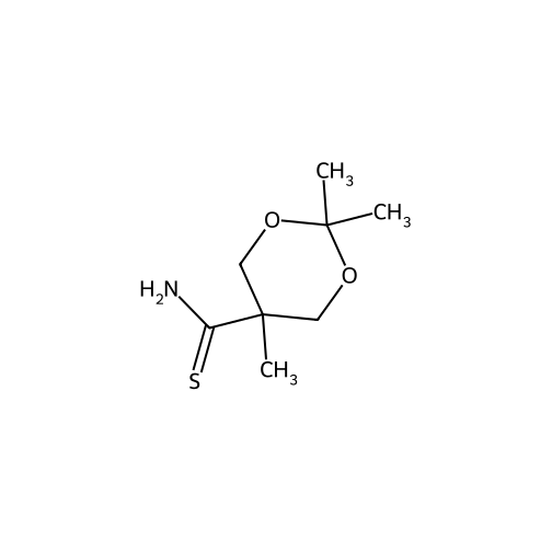 CC1(C)OCC(C)(C(N)=S)CO1